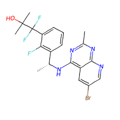 Cc1nc(N[C@H](C)c2cccc(C(F)(F)C(C)(C)O)c2F)c2cc(Br)cnc2n1